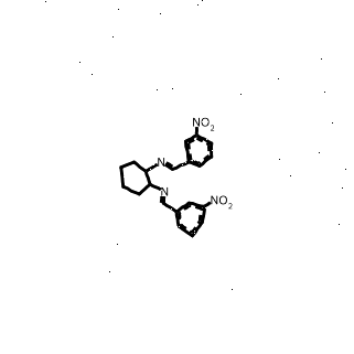 O=[N+]([O-])c1cccc(C=NC2CCCCC2N=Cc2cccc([N+](=O)[O-])c2)c1